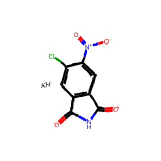 O=C1NC(=O)c2cc([N+](=O)[O-])c(Cl)cc21.[KH]